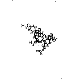 Cc1ccc(S(=O)(=O)n2ccc3c(-c4c(OCC5CC5)ccc([N+](=O)[O-])c4C)cn(C)c(=O)c32)cc1